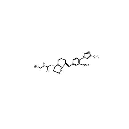 COc1cc(/C=C2\CCCN3C2=NOC[C@@H]3CC(=O)NCC(C)(C)C)ccc1-n1cnc(C)c1